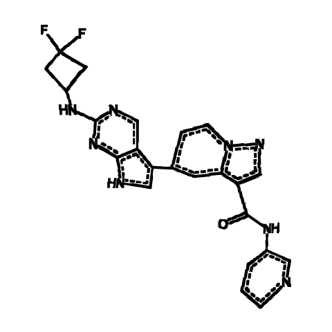 O=C(Nc1cccnc1)c1cnn2ccc(-c3c[nH]c4nc(NC5CC(F)(F)C5)ncc34)cc12